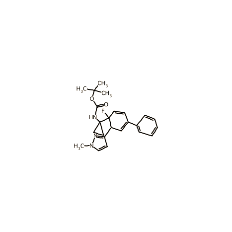 Cn1ccc(C2C=C(c3ccccc3)C=CC2(F)C2(NC(=O)OC(C)(C)C)CC2)n1